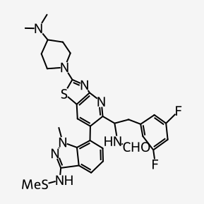 CSNc1nn(C)c2c(-c3cc4sc(N5CCC(N(C)C)CC5)nc4nc3C(Cc3cc(F)cc(F)c3)NC=O)cccc12